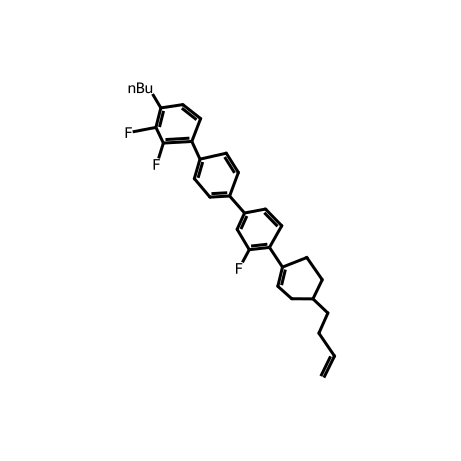 C=CCCC1CC=C(c2ccc(-c3ccc(-c4ccc(CCCC)c(F)c4F)cc3)cc2F)CC1